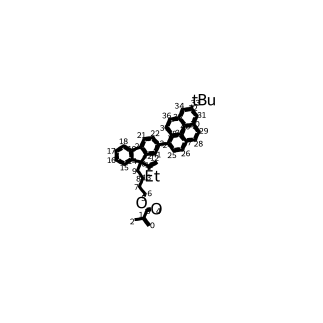 C=C(C)C(=O)OCCCCC1(C(=C)CC)c2ccccc2-c2ccc(-c3ccc4ccc5cc(C(C)(C)C)cc6ccc3c4c56)cc21